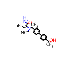 CC(C)C[C@@H](C(N)=O)N(CC#N)[C@@H](c1ccc(-c2ccc(C(O)C(F)(F)F)cc2)cc1)C(F)(F)F